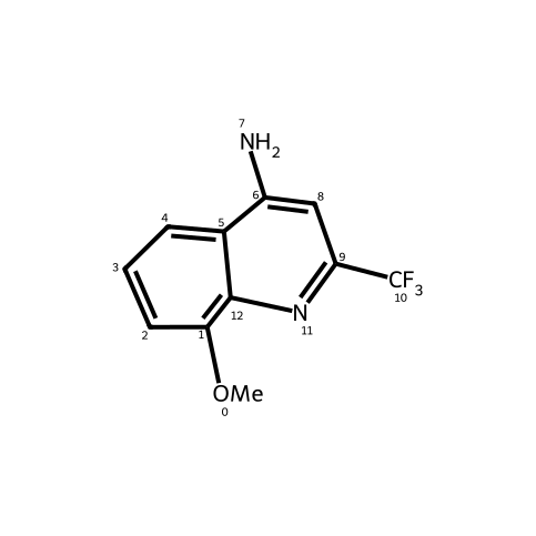 COc1cccc2c(N)cc(C(F)(F)F)nc12